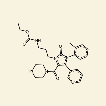 CCOC(=O)NCCCn1c(C(=O)N2CCNCC2)c(-c2ccccc2)n(-c2ccccc2C)c1=O